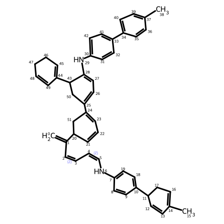 C=C(/C=C\C=C/Nc1ccc(C2C=CC(C)=CC2)cc1)C1C=CC=C(C2=CC=C(Nc3ccc(-c4ccc(C)cc4)cc3)C(C3=CCCC=C3)C2)C1